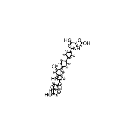 O=C(O)CC(CC(=O)O)NCc1ccc(-c2ccc(-c3nc4nc(O[C@@H]5CO[C@H]6[C@@H]5OC[C@H]6O)[nH]c4cc3Cl)cc2)cc1